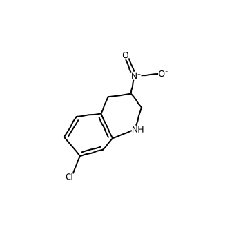 O=[N+]([O-])C1CNc2cc(Cl)ccc2C1